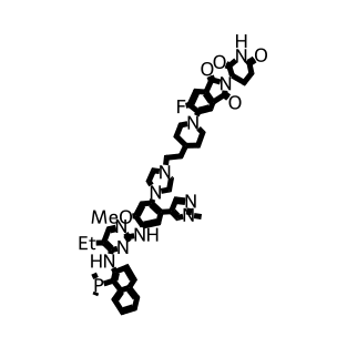 CCc1cnc(Nc2cc(-c3cnn(C)c3)c(N3CCN(CCC4CCN(c5cc6c(cc5F)C(=O)N(C5CCC(=O)NC5=O)C6=O)CC4)CC3)cc2OC)nc1Nc1ccc2ccccc2c1P(C)C